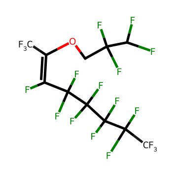 FC(=C(OCC(F)(F)C(F)F)C(F)(F)F)C(F)(F)C(F)(F)C(F)(F)C(F)(F)C(F)(F)F